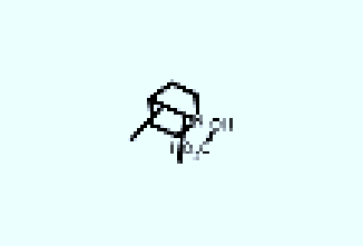 CC1C2CCN(CC2)C1C.O=C(O)O